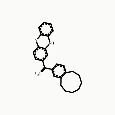 C=C(c1ccc2c(c1)CCCCCCC2)c1ccc2c(c1)Nc1ccccc1S2